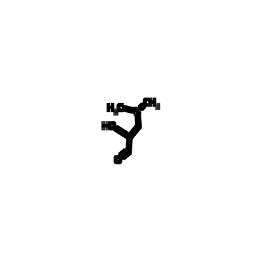 CN(C)CC(O)C=O